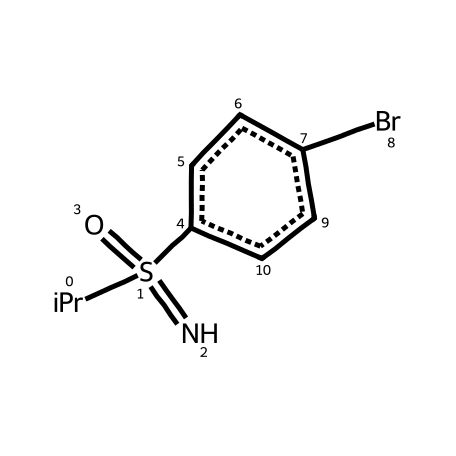 CC(C)S(=N)(=O)c1ccc(Br)cc1